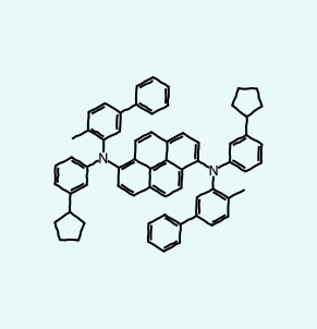 Cc1ccc(-c2ccccc2)cc1N(c1cccc(C2CCCC2)c1)c1ccc2ccc3c(N(c4cccc(C5CCCC5)c4)c4cc(-c5ccccc5)ccc4C)ccc4ccc1c2c43